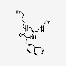 CC(C)CCCCNC(=O)[C@@H](Cc1ccc2ccccc2c1)NC(=O)CCNC(C)C